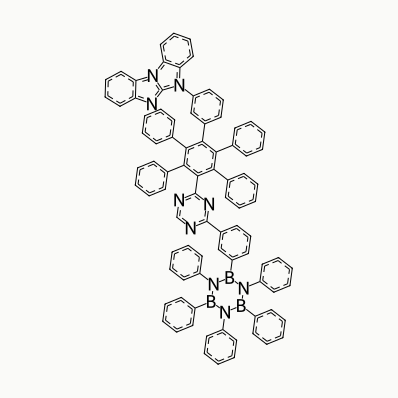 c1ccc(B2N(c3ccccc3)B(c3ccccc3)N(c3ccccc3)B(c3cccc(-c4ncnc(-c5c(-c6ccccc6)c(-c6ccccc6)c(-c6cccc(-n7c8ccccc8n8c9ccccc9nc78)c6)c(-c6ccccc6)c5-c5ccccc5)n4)c3)N2c2ccccc2)cc1